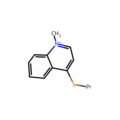 CC(C)Sc1cc[n+](C)c2ccccc12